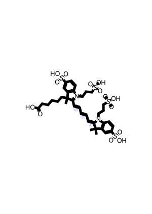 CC1(CCCCCC(=O)O)C(/C=C/C=C/C=C2\N(CCCS(=O)(=O)O)c3ccc(S(=O)(=O)O)cc3C2(C)C)=[N+](CCCS(=O)(=O)O)c2ccc(S(=O)(=O)O)cc21